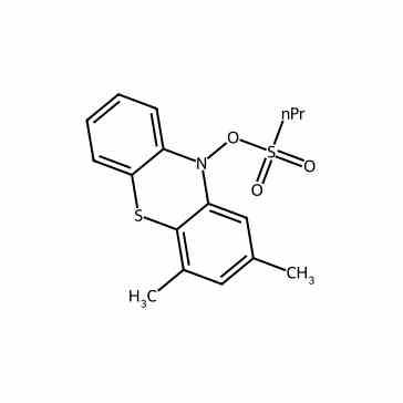 CCCS(=O)(=O)ON1c2ccccc2Sc2c(C)cc(C)cc21